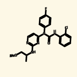 COCC(C)Nc1nccc(N(C(=O)Nc2ccccc2Cl)c2ccc(F)cc2)n1